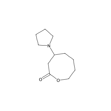 O=C1CC(N2CCCC2)CCCCO1